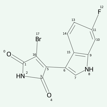 O=C1NC(=O)C(c2c[nH]c3cc(F)ccc23)=C1Br